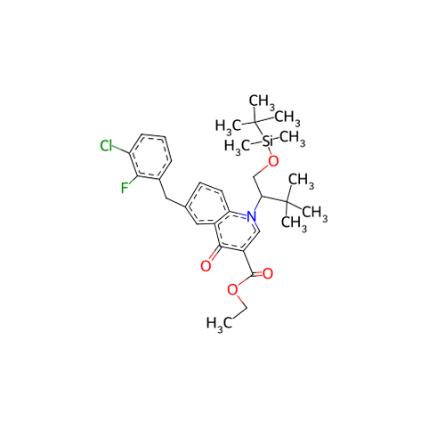 CCOC(=O)c1cn(C(CO[Si](C)(C)C(C)(C)C)C(C)(C)C)c2ccc(Cc3cccc(Cl)c3F)cc2c1=O